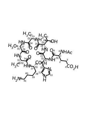 CC(=O)N[C@@H](CCC(=O)O)C(=O)N[C@@H](Cc1c[nH]cn1)C(=O)N[C@H](C(=O)N[C@@H](C)C(=O)N[C@@H](C)C(=O)N[C@@H](C)C(=O)N[C@@H](CCCCN)C(=O)O)[C@@H](C)O